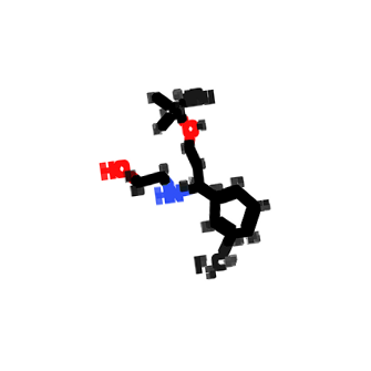 CC(C)(C)[Si](C)(C)OCCC(NCCO)c1cccc(C(F)(F)F)c1